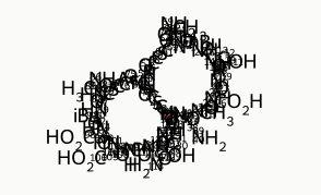 CCCC[C@@H]1NC(=O)[C@H](Cc2ccc(O)cc2)NC(=O)[C@@H]2CCCN2C(=O)[C@H](CC(=O)O)NC(=O)[C@H](C)NC(=O)[C@H](CCCCN)NC(=O)[C@@H]2CSCC(=O)N3CN(CN(C3)C(=O)CCSC[C@@H](C(=O)N[C@@H](C)C(N)=O)NC1=O)C(=O)CCSC[C@H](NC(=O)[C@H](C)NC(C)=O)C(=O)N[C@@H]([C@@H](C)CC)C(=O)N[C@@H](CCC(=O)O)C(=O)N[C@@H](CCCC(=O)O)C(=O)NCC(=O)N[C@@H](CCC(N)=O)C(=O)N[C@@H](Cc1ccc(O)cc1)C(=O)N2